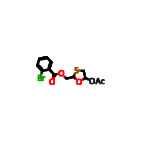 CC(=O)OC1CSC(COC(=O)c2ccccc2Br)O1